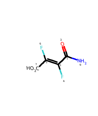 NC(=O)C(F)=C(F)C(=O)O